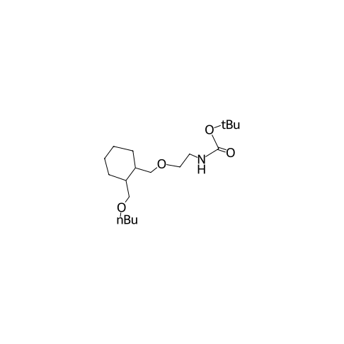 CCCCOCC1CCCCC1COCCNC(=O)OC(C)(C)C